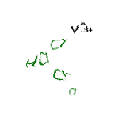 Cl.[Cl-].[Cl-].[Cl-].[Y+3]